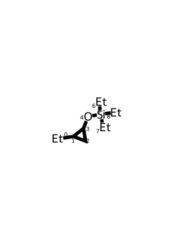 CCC1CC1O[Si](CC)(CC)CC